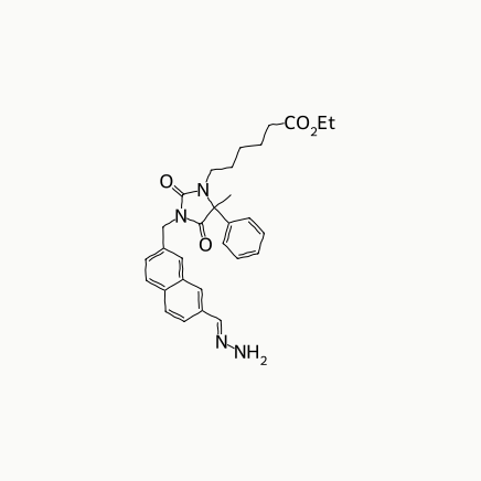 CCOC(=O)CCCCCN1C(=O)N(Cc2ccc3ccc(C=NN)cc3c2)C(=O)C1(C)c1ccccc1